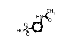 CC(=O)Nc1cccc(S(=O)(=O)O)c1